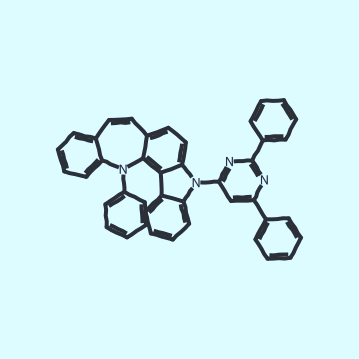 C1=Cc2ccc3c(c2N(c2ccccc2)c2ccccc21)c1ccccc1n3-c1cc(-c2ccccc2)nc(-c2ccccc2)n1